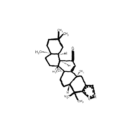 CC1(C)CC[C@]2(C)CC[C@]3(C)[C@H](C(=O)C=C4[C@@]5(C)Cc6cnoc6C(C)(C)[C@@H]5CC[C@]43C)[C@@H]2C1